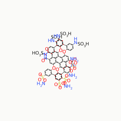 CN1C(=O)c2cc(Oc3ccc(NS(=O)(=O)O)cc3-c3ccc(NS(=O)(=O)O)cc3)c3c4c(Oc5ccc(NS(=O)(=O)O)cc5-c5ccc(NS(=O)(=O)O)cc5)cc5c6c(cc(Oc7ccc(S(=O)(=O)ON)cc7-c7ccc(S(=O)(=O)ON)cc7)c(c7c(Oc8ccc(S(=O)(=O)ON)cc8-c8ccc(S(=O)(=O)ON)cc8)cc(c2c37)C1=O)c64)C(=O)N(C)C5=O